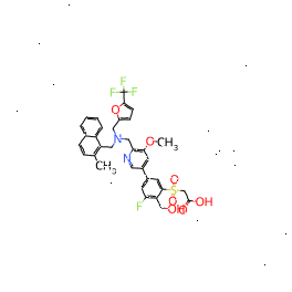 COc1cc(-c2cc(F)c(CO)c(S(=O)(=O)CC(=O)O)c2)cnc1CN(Cc1ccc(C(F)(F)F)o1)Cc1c(C)ccc2ccccc12